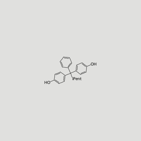 CCCC(C)C(c1ccccc1)(c1ccc(O)cc1)c1ccc(O)cc1